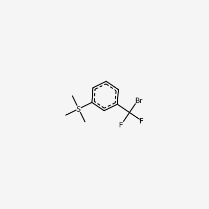 CS(C)(C)c1cccc(C(F)(F)Br)c1